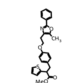 COC(=O)C(Cc1ccc(OCCc2nc(-c3ccccc3)oc2C)cc1)c1cccs1